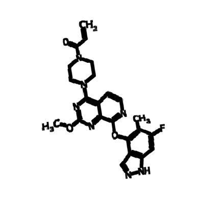 C=CC(=O)N1CCN(c2nc(OC)nc3c(Oc4c(C)c(F)cc5[nH]ncc45)nccc23)CC1